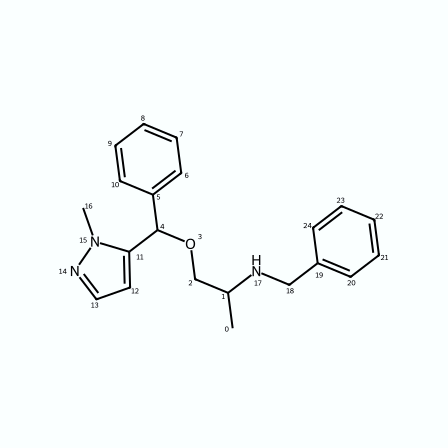 CC(COC(c1ccccc1)c1ccnn1C)NCc1ccccc1